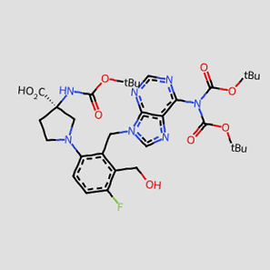 CC(C)(C)OC(=O)N[C@]1(C(=O)O)CCN(c2ccc(F)c(CO)c2Cn2cnc3c(N(C(=O)OC(C)(C)C)C(=O)OC(C)(C)C)ncnc32)C1